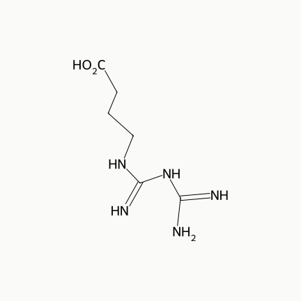 N=C(N)NC(=N)NCCCC(=O)O